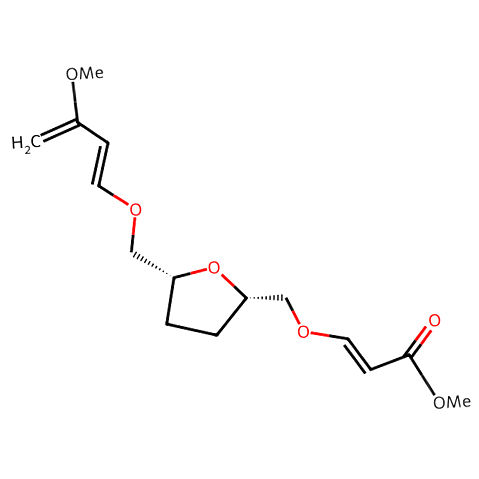 C=C(/C=C/OC[C@H]1CC[C@@H](CO/C=C/C(=O)OC)O1)OC